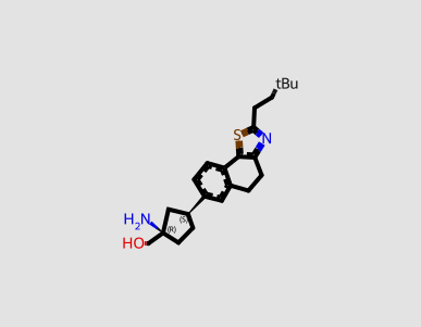 CC(C)(C)CCc1nc2c(s1)-c1ccc([C@H]3CC[C@](N)(CO)C3)cc1CC2